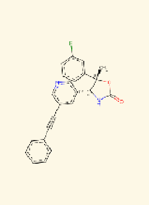 C[C@@]1(c2cccc(F)c2)OC(=O)N[C@@H]1c1cncc(C#Cc2ccccc2)c1